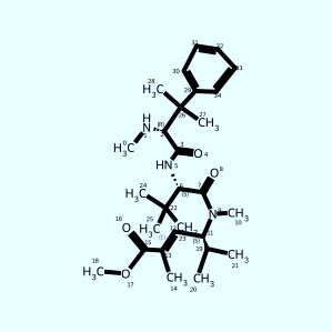 CN[C@@H](C(=O)N[C@H](C(=O)N(C)[C@H](/C=C(\C)C(=O)OC)C(C)C)C(C)(C)C)C(C)(C)c1ccccc1